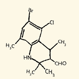 Cc1cc(Br)c(Cl)c2c1NC(C)(C)C(C=O)C2C